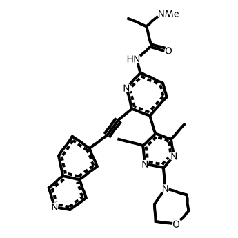 CNC(C)C(=O)Nc1ccc(-c2c(C)nc(N3CCOCC3)nc2C)c(C#Cc2ccc3cnccc3c2)n1